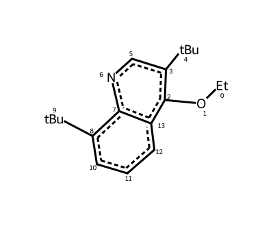 CCOc1c(C(C)(C)C)cnc2c(C(C)(C)C)cccc12